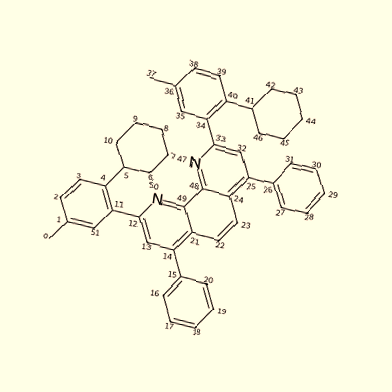 Cc1ccc(C2CCCCC2)c(-c2cc(-c3ccccc3)c3ccc4c(-c5ccccc5)cc(-c5cc(C)ccc5C5CCCCC5)nc4c3n2)c1